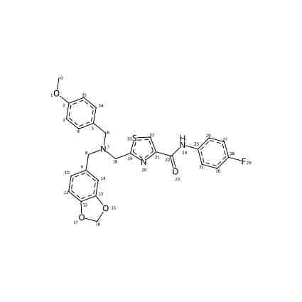 COc1ccc(CN(Cc2ccc3c(c2)OCO3)Cc2nc(C(=O)Nc3ccc(F)cc3)cs2)cc1